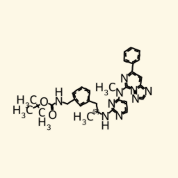 C[C@H](Cc1cccc(CNC(=O)OC(C)(C)C)c1)Nc1nccc(N(C)c2nc(-c3ccccc3)cc3ncnn23)n1